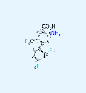 Nc1cc(-c2ccc(F)cc2F)c(C(F)(F)F)cc1C(=O)O